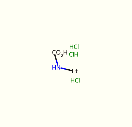 CCNC(=O)O.Cl.Cl.Cl